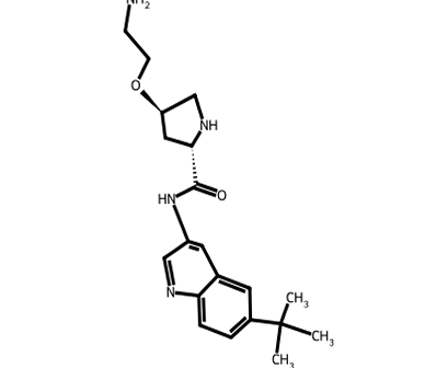 CC(C)(C)c1ccc2ncc(NC(=O)[C@@H]3C[C@@H](OCCN)CN3)cc2c1